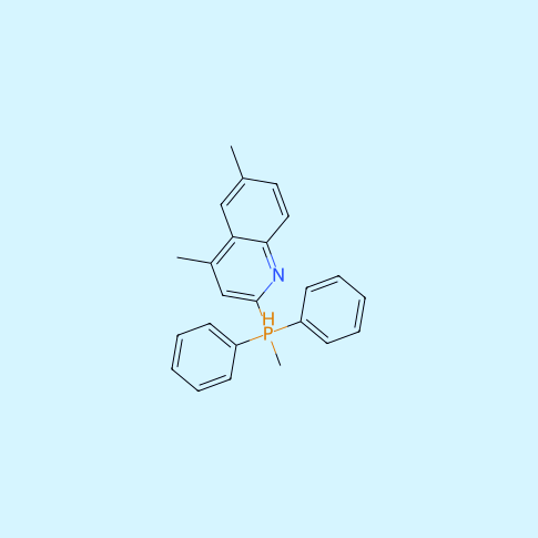 Cc1ccc2nc([PH](C)(c3ccccc3)c3ccccc3)cc(C)c2c1